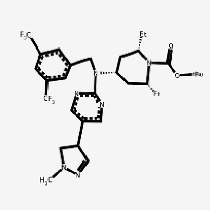 CC[C@@H]1C[C@H](N(Cc2cc(C(F)(F)F)cc(C(F)(F)F)c2)c2ncc(C3C=NN(C)C3)cn2)C[C@H](CC)N1C(=O)OC(C)(C)C